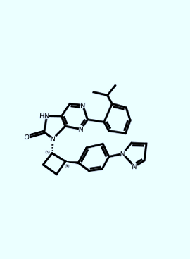 CC(C)c1ccccc1-c1ncc2[nH]c(=O)n([C@H]3CC[C@@H]3c3ccc(-n4cccn4)cc3)c2n1